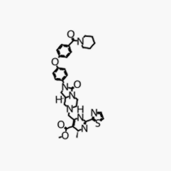 COC(=O)C1=C(CN2CCN3C(=O)N(c4ccc(Oc5ccc(C(=O)N6CCCCC6)cc5)cc4)C[C@@H]3C2)NC(c2nccs2)=N[C@H]1C